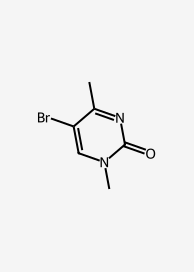 Cc1nc(=O)n(C)cc1Br